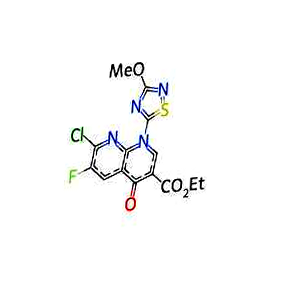 CCOC(=O)c1cn(-c2nc(OC)ns2)c2nc(Cl)c(F)cc2c1=O